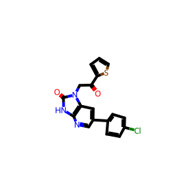 O=C(Cn1c(=O)[nH]c2ncc(-c3ccc(Cl)cc3)cc21)c1cccs1